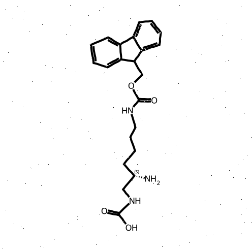 N[C@@H](CCCCNC(=O)OCC1c2ccccc2-c2ccccc21)CNC(=O)O